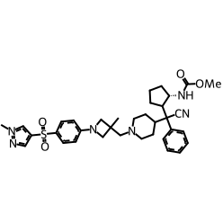 COC(=O)N[C@H]1CCCC1C(C#N)(c1ccccc1)C1CCN(CC2(C)CN(c3ccc(S(=O)(=O)c4cnn(C)c4)cc3)C2)CC1